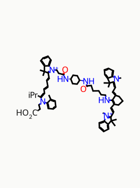 Cc1ccccc1N(CCC(=O)O)/C(=C/C=C/C=C/C1=[N+](CCC(=O)N[C@H]2CC[C@H](NC(=O)CCCCCNC3=C(/C=C/C4=[N+](C)c5ccccc5C4(C)C)CCC/C3=C\C=C3\N(C)c4ccccc4C3(C)C)CC2)c2ccccc2C1(C)C)C(C)C